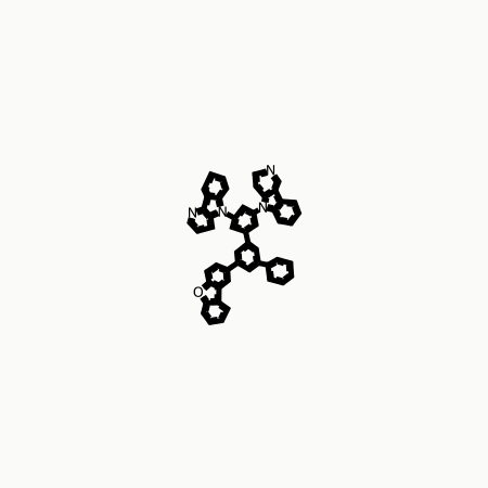 c1ccc(-c2cc(-c3cc(-n4c5ccccc5c5cnccc54)cc(-n4c5ccccc5c5ncccc54)c3)cc(-c3ccc4oc5ccccc5c4c3)c2)cc1